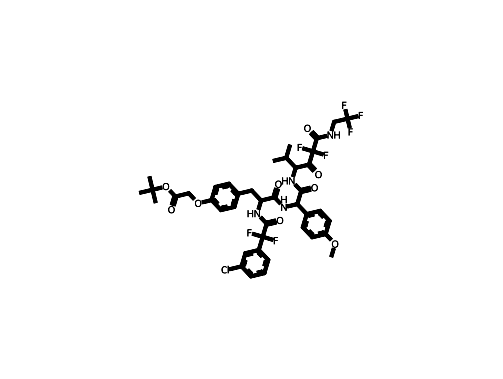 COc1ccc(C(NC(=O)C(Cc2ccc(OCC(=O)OC(C)(C)C)cc2)NC(=O)C(F)(F)c2cccc(Cl)c2)C(=O)NC(C(=O)C(F)(F)C(=O)NCC(F)(F)F)C(C)C)cc1